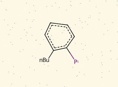 CCCCc1ccccc1[P]